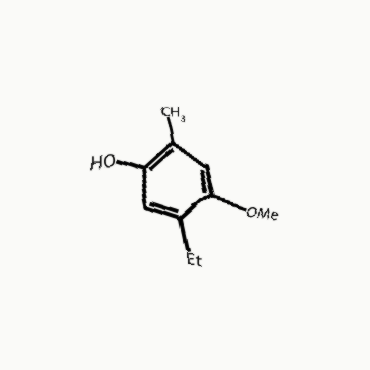 CCc1cc(O)c(C)cc1OC